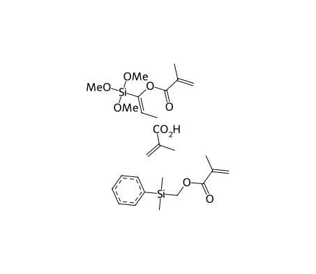 C=C(C)C(=O)O.C=C(C)C(=O)OC(=CC)[Si](OC)(OC)OC.C=C(C)C(=O)OC[Si](C)(C)c1ccccc1